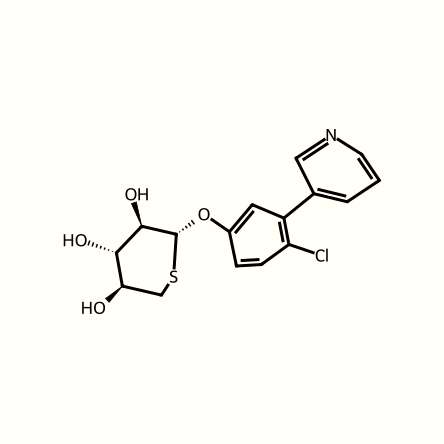 O[C@@H]1[C@@H](O)[C@H](Oc2ccc(Cl)c(-c3cccnc3)c2)SC[C@H]1O